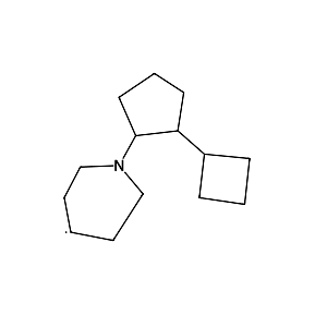 [CH]1CCN(C2CCCC2C2CCC2)CC1